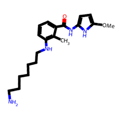 COc1ccc(NC(=O)c2cccc(NCCCCCCCN)c2C)[nH]1